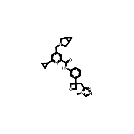 Cn1cnnc1CC1(c2cccc(NC(=O)c3cc(CN4CC5CC5C4)cc(C4CC4)n3)c2)COC1